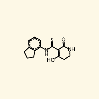 O=C1NCCC(O)=C1C(=S)Nc1cccc2c1CCC2